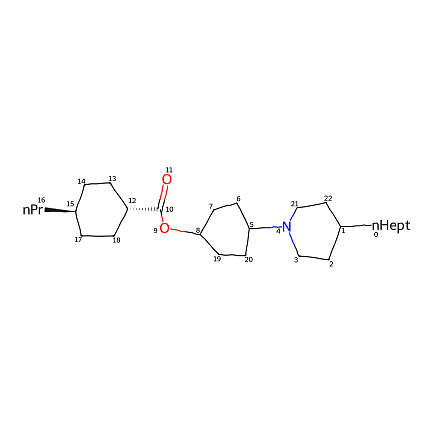 CCCCCCCC1CCN(C2CCC(OC(=O)[C@H]3CC[C@H](CCC)CC3)CC2)CC1